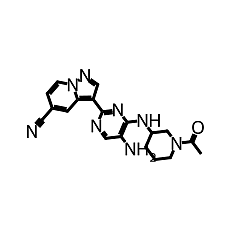 CC(=O)N1CCCC(Nc2nc(-c3cnn4ccc(C#N)cc34)ncc2N)C1